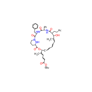 CC(=O)CCC1C(=O)NC(C(C)C)C(=O)NC(Cc2ccccc2)C(=O)N2CCCC(N2)C(=O)O[C@H](/C(C)=C/C=C/C(=O)OC(C)(C)C)C/C=C/C=C/C=C(\C)C1O